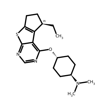 CC[C@@H]1CCc2sc3ncnc(O[C@H]4CC[C@H](N(C)C)CC4)c3c21